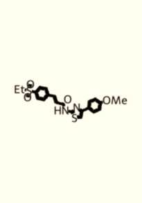 CCS(=O)(=O)c1ccc(/C=C/C(=O)Nc2nc(-c3ccc(OC)cc3)cs2)cc1